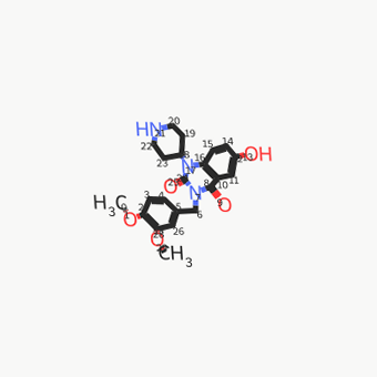 COc1ccc(Cn2c(=O)c3cc(O)ccc3n(C3CCNCC3)c2=O)cc1OC